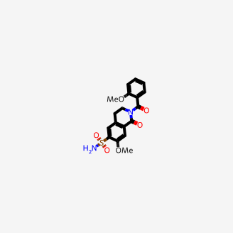 COc1ccccc1C(=O)N1CCc2cc(S(N)(=O)=O)c(OC)cc2C1=O